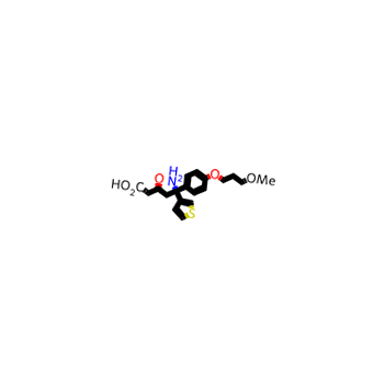 COCCCOc1ccc(C(N)(CC(=O)CC(=O)O)c2ccsc2)cc1